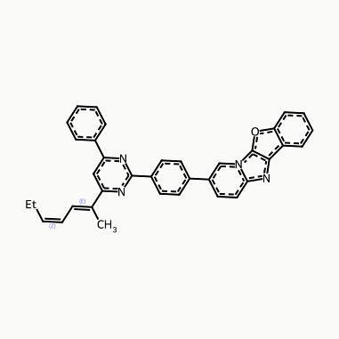 CC/C=C\C=C(/C)c1cc(-c2ccccc2)nc(-c2ccc(-c3ccc4nc5c6ccccc6oc5n4c3)cc2)n1